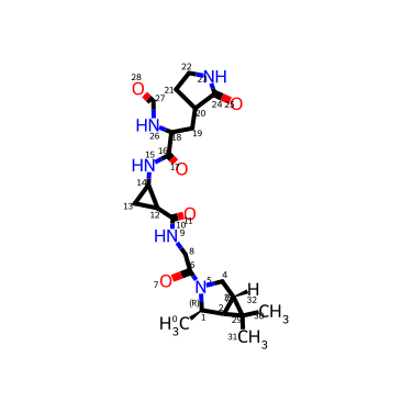 C[C@@H]1C2[C@H](CN1C(=O)CNC(=O)C1CC1NC(=O)C(CC1CCNC1=O)NC=O)C2(C)C